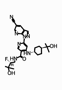 CC(C)(O)[C@H](F)CNC(=O)c1cnc(-n2ncc3cc(C#N)cnc32)cc1N[C@H]1CC[C@H](C(C)(C)O)CC1